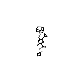 O=C(NSN1CCC1)c1cc(C2CC2)c(OCC23CC4CC(CC(C4)C2)C3)cc1F